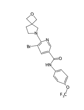 O=C(Nc1ccc(OC(F)(F)F)cc1)c1cnc(N2CCC3(COC3)C2)c(Br)c1